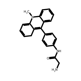 CN1C2=CC=CCC2=C(c2ccc(NC(=O)CN)cc2)c2ccccc21